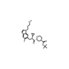 COCCCn1ccc2cc(F)c(CN(C(=O)[C@H]3CN(C(=O)OC(C)(C)C)CCO3)C3CC3)cc21